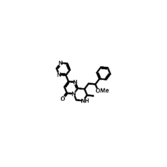 COC(CC1c2nc(-c3ccncn3)cc(=O)n2CNC1C)c1ccccc1